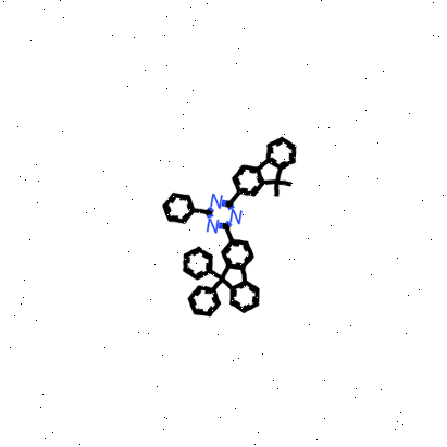 CC1(C)c2ccccc2-c2ccc(-c3nc(-c4ccccc4)nc(-c4ccc5c(c4)C(c4ccccc4)(c4ccccc4)c4ccccc4-5)n3)cc21